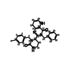 Cc1ccc(CN2C(=O)NCCC2c2nc3c(c(=O)n2Cc2ccccc2)NC=CC3)cc1